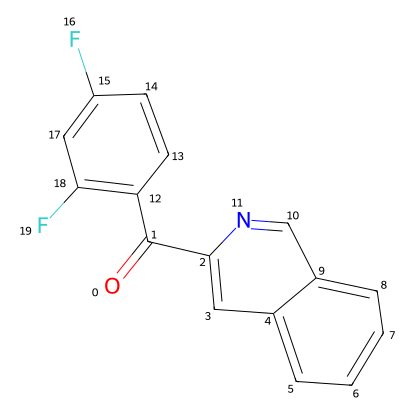 O=C(c1cc2ccccc2cn1)c1ccc(F)cc1F